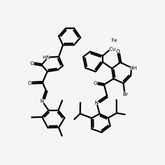 CC(C)c1cccc(C(C)C)c1N=CC(=O)c1c(Br)c[nH]c(=O)c1-c1cccc[c]1[Cu].Cc1cc(C)c(N=CC(=O)c2ccc(-c3ccccc3)[nH]c2=O)c(C)c1.[Fe]